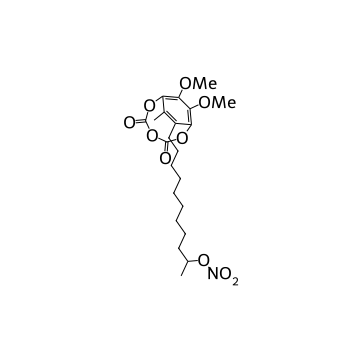 COc1c(OC)c2oc(=O)oc(=O)oc1c(C)c2CCCCCCCCCC(C)O[N+](=O)[O-]